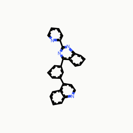 c1ccc(-c2nc(-c3cccc(-c4ccnc5ccccc45)c3)c3ccccc3n2)nc1